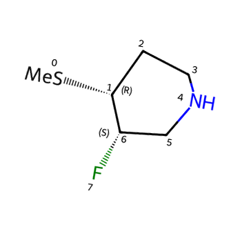 CS[C@@H]1CCNC[C@@H]1F